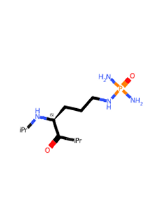 CC(C)N[C@@H](CCCNP(N)(N)=O)C(=O)C(C)C